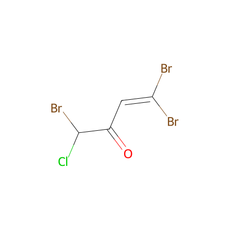 O=C(C=C(Br)Br)C(Cl)Br